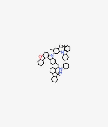 CC1CC(C#N)C(N2C3=C(CCC=C3)C3CCCCC32)CC1N1C2=C(C3CCC(CC(NC4CCCCC4)C4CCCC5C6CCCCC6C(C)(C)C45)=CC31)C1C(CC2)OC2CCCCC21